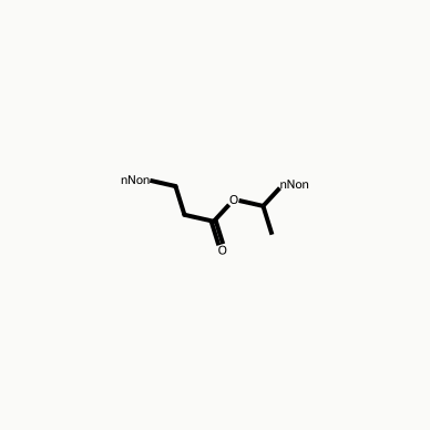 CCCCCCCCCCCC(=O)OC(C)CCCCCCCCC